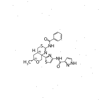 C[C@H]1C[C@H]2CSC(NC(=O)c3ccccc3)=NC2(c2nc(NC(=O)c3cc[nH]n3)cs2)CO1